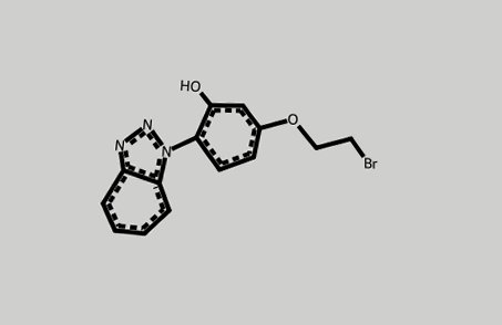 Oc1cc(OCCBr)ccc1-n1nnc2ccccc21